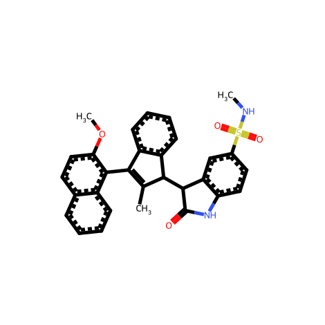 CNS(=O)(=O)c1ccc2c(c1)C(C1C(C)=C(c3c(OC)ccc4ccccc34)c3ccccc31)C(=O)N2